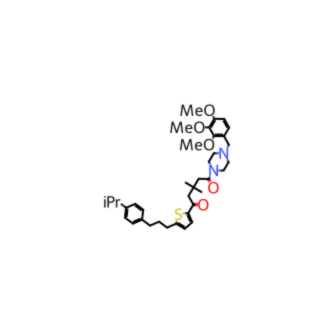 COc1ccc(CN2CCN(C(=O)CC(C)(C)CC(=O)c3ccc(CCCc4ccc(C(C)C)cc4)s3)CC2)c(OC)c1OC